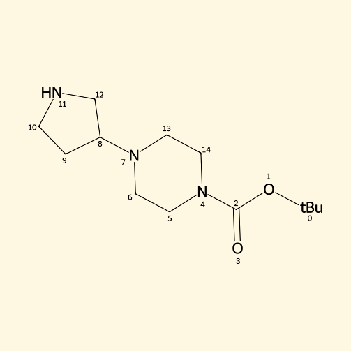 CC(C)(C)OC(=O)N1CCN(C2CCNC2)CC1